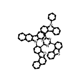 c1ccc(-n2c3ccccc3c3c(-c4nc(-c5c(-n6c7ccccc7c7cc8ccccc8cc76)ccc6c5oc5ccc7ccccc7c56)nc(-c5cccc6sc7ccccc7c56)n4)cccc32)cc1